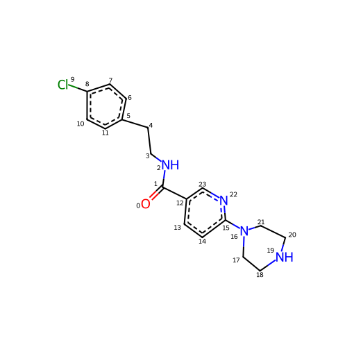 O=C(NCCc1ccc(Cl)cc1)c1ccc(N2CCNCC2)nc1